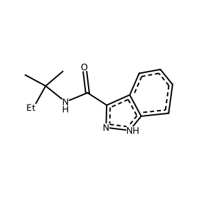 CCC(C)(C)NC(=O)c1n[nH]c2ccccc12